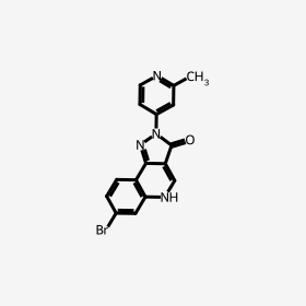 Cc1cc(-n2nc3c4ccc(Br)cc4[nH]cc-3c2=O)ccn1